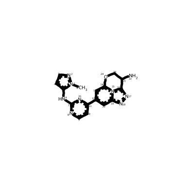 Cn1nccc1Nc1nccc(-c2cc3n4c(nnc4c2)C(N)CO3)n1